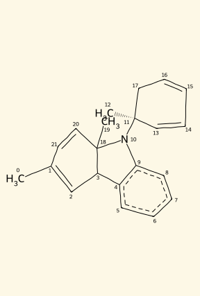 CC1=CC2c3ccccc3N([C@]3(C)C=CC=CC3)C2(C)C=C1